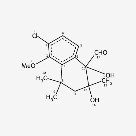 COc1c(Cl)ccc2c1C(C)(C)CC(C)(O)C2(O)C=O